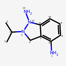 CC(C)N1Cc2c(N)cccc2N1N